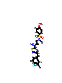 COc1ccc(S(=O)(=O)N(C)CCNc2nc(Cc3ccc(F)c(C)c3)ns2)cc1